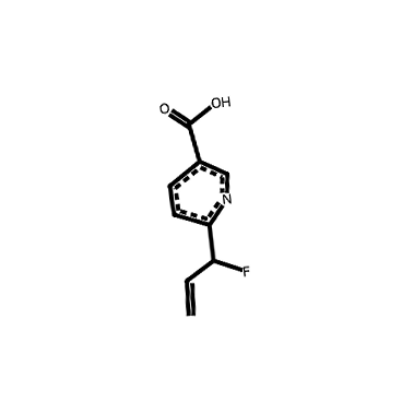 C=CC(F)c1ccc(C(=O)O)cn1